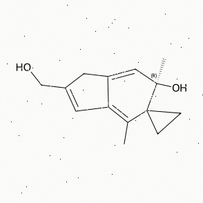 CC1=C2C=C(CO)CC2=C[C@@](C)(O)C12CC2